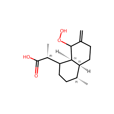 C=C1CC[C@@H]2[C@H](C1OO)C([C@@H](C)C(=O)O)CC[C@H]2C